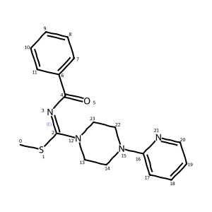 CS/C(=N/C(=O)c1ccccc1)N1CCN(c2ccccn2)CC1